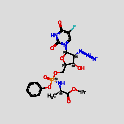 CC(C)OC(=O)[C@H](C)N[P@](=O)(OC[C@H]1O[C@@H](n2cc(F)c(=O)[nH]c2=O)[C@H](N=[N+]=[N-])[C@@H]1O)Oc1ccccc1